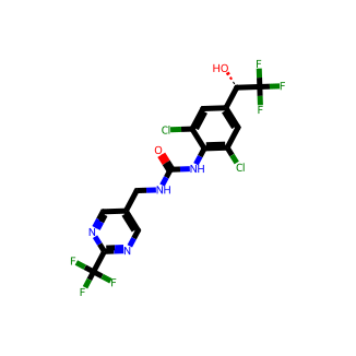 O=C(NCc1cnc(C(F)(F)F)nc1)Nc1c(Cl)cc([C@H](O)C(F)(F)F)cc1Cl